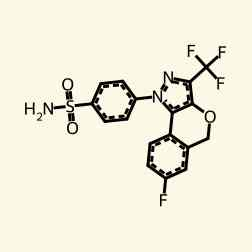 NS(=O)(=O)c1ccc(-n2nc(C(F)(F)F)c3c2-c2ccc(F)cc2CO3)cc1